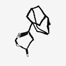 O=C1CC(C23CC4CC(CC(C4)C2)C3)=NO1